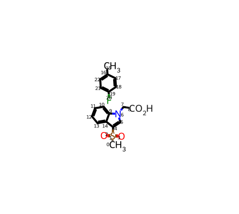 CS(=O)(=O)c1cn(CC(=O)O)c2ccccc12.Cc1ccc(F)cc1